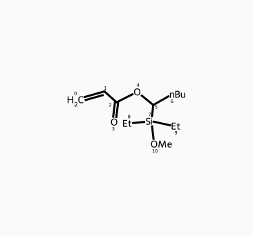 C=CC(=O)OC(CCCC)[Si](CC)(CC)OC